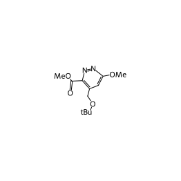 COC(=O)c1nnc(OC)cc1COC(C)(C)C